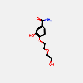 NC(=O)c1ccc(OCCOCCO)c(O)c1